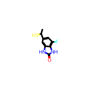 CC(S)c1cc(F)c2[nH]c(=O)[nH]c2c1